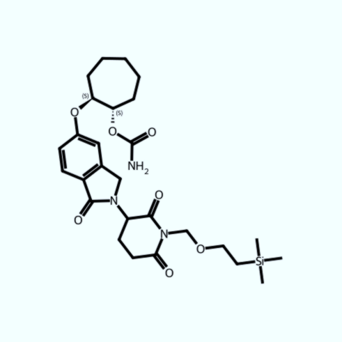 C[Si](C)(C)CCOCN1C(=O)CCC(N2Cc3cc(O[C@H]4CCCCC[C@@H]4OC(N)=O)ccc3C2=O)C1=O